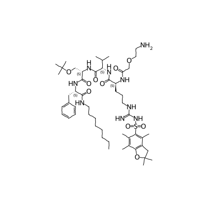 CCCCCCCCNC(=O)[C@H](Cc1ccccc1)NC(=O)[C@H](COC(C)(C)C)NC(=O)[C@@H](NC(=O)[C@H](CCCNC(=N)NS(=O)(=O)c1c(C)c(C)c2c(c1C)CC(C)(C)O2)NC(=O)COCCN)C(C)C